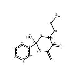 C=C1SC(O)(c2ccccc2)CN(CCO)C1=O